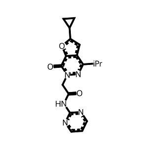 CC(C)c1nn(CC(=O)Nc2ncccn2)c(=O)c2oc(C3CC3)cc12